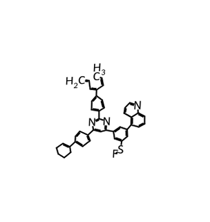 C=C/C=C(\C=C/C)c1ccc(-c2nc(-c3ccc(C4=CCCCC4)cc3)cc(-c3cc(SF)cc(-c4cccc5ncccc45)c3)n2)cc1